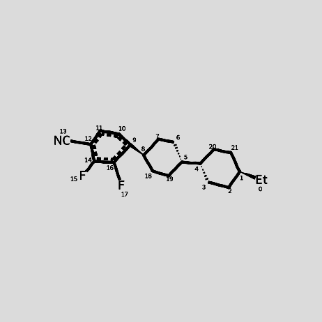 CC[C@H]1CC[C@H]([C@H]2CC[C@H](c3ccc(C#N)c(F)c3F)CC2)CC1